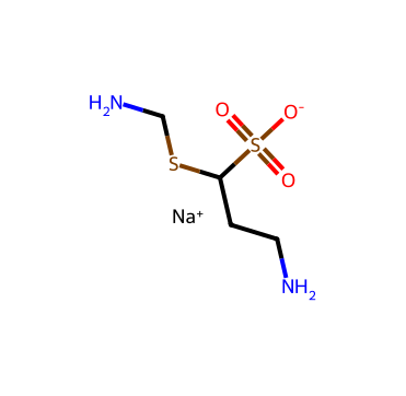 NCCC(SCN)S(=O)(=O)[O-].[Na+]